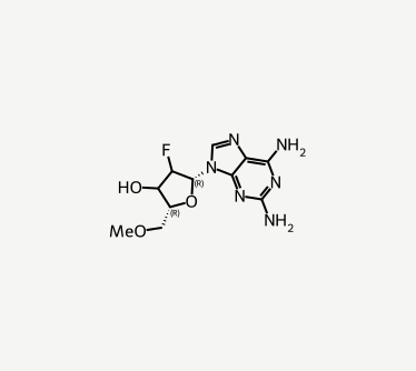 COC[C@H]1O[C@@H](n2cnc3c(N)nc(N)nc32)C(F)C1O